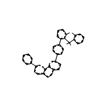 CC1(C)c2ccccc2Sc2cccc(-c3ccc(-c4ccc5ccc6ccc(-c7ccccc7)nc6c5n4)cc3)c21